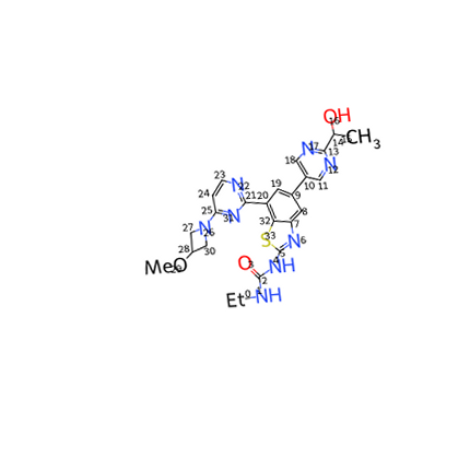 CCNC(=O)Nc1nc2cc(-c3cnc(C(C)O)nc3)cc(-c3nccc(N4CC(OC)C4)n3)c2s1